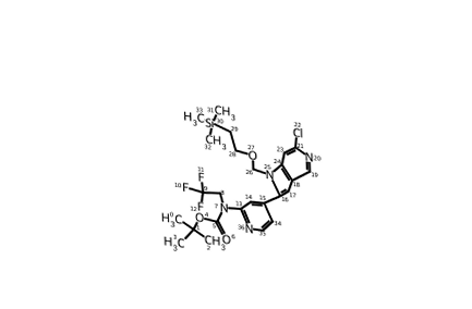 CC(C)(C)OC(=O)N(CC(F)(F)F)c1cc(-c2cc3cnc(Cl)cc3n2COCC[Si](C)(C)C)ccn1